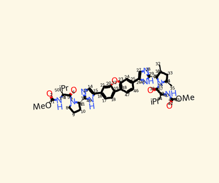 COC(=O)N[C@H](C(=O)N1CCC[C@H]1c1ncc(-c2ccc3c(c2)oc2cc(-c4cnc([C@@H]5[C@@H](C)C[C@@H](C)N5C(=O)[C@@H](NC(=O)OC)C(C)C)[nH]4)ccc23)[nH]1)C(C)C